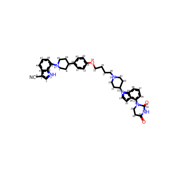 N#Cc1c[nH]c2c(N3CCC(c4ccc(OCCCCN5CCC(n6ccc7c(N8CCC(=O)NC8=O)cccc76)CC5)cc4)CC3)cccc12